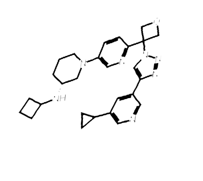 c1ncc(C2CC2)cc1-c1cn(C2(c3ccc(N4CCC[C@@H](NC5CCC5)C4)cn3)COC2)nn1